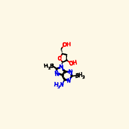 Bc1nc(N)c2nc(B)n([C@@H]3O[C@H](CO)C[C@H]3O)c2n1